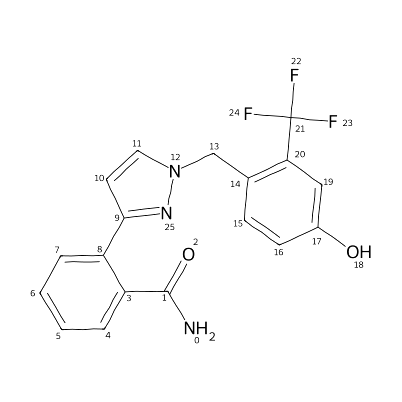 NC(=O)c1ccccc1-c1ccn(Cc2ccc(O)cc2C(F)(F)F)n1